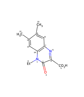 CCn1c(=O)c(C(=O)O)nc2cc(C)c(C)cc21